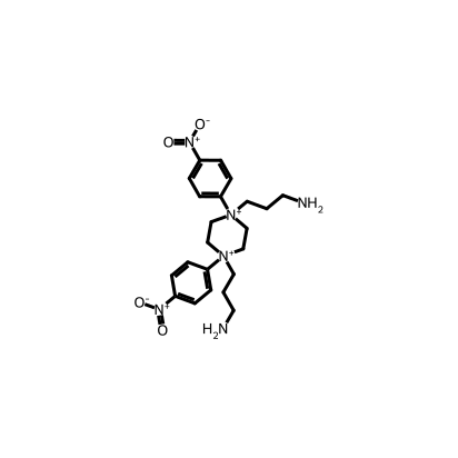 NCCC[N+]1(c2ccc([N+](=O)[O-])cc2)CC[N+](CCCN)(c2ccc([N+](=O)[O-])cc2)CC1